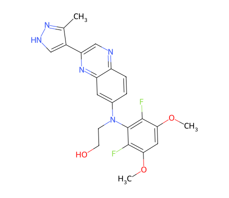 COc1cc(OC)c(F)c(N(CCO)c2ccc3ncc(-c4c[nH]nc4C)nc3c2)c1F